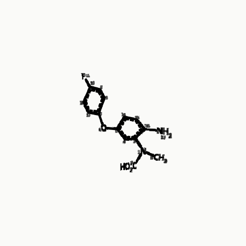 CN(C(=O)O)c1cc(Oc2ccc(F)cc2)ccc1N